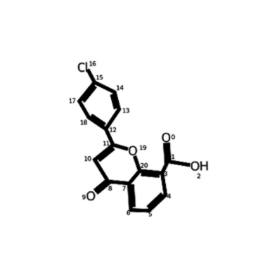 O=C(O)c1cccc2c(=O)cc(-c3ccc(Cl)cc3)oc12